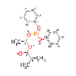 C=C(C)C(=O)OC(C)OP(Oc1ccccc1)Oc1ccccc1